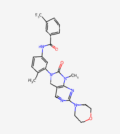 Cc1ccc(NC(=O)c2cccc(C(F)(F)F)c2)cc1N1Cc2cnc(N3CCOCC3)nc2N(C)C1=O